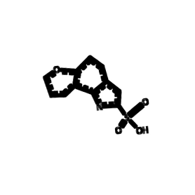 O=S(=O)(O)c1cc2ccc3occcc3c2n1